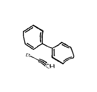 C#CCC.c1ccc(-c2ccccc2)cc1